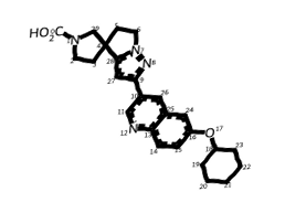 O=C(O)N1CCC2(CCn3nc(-c4cnc5ccc(OC6CCCCC6)cc5c4)cc32)C1